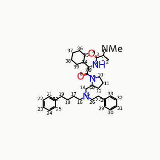 CNC(C)C(=O)N[C@H](C(=O)N1CCC[C@H]1CN(CCCCc1ccccc1)CCc1ccccc1)C1CCCCC1